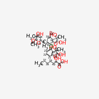 CC(O)(C(=O)O)c1ccccc1Br.CC(O)(C(=O)O)c1ccccc1Cl.CCCC(C)(O)C(=O)OC.CCCCCC(O)C(=O)O